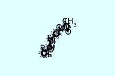 Cc1ccc(=O)n(CC(=O)N2CCC(c3nc(C4=NOC(c5c(F)cccc5F)C4)cs3)CC2)c1